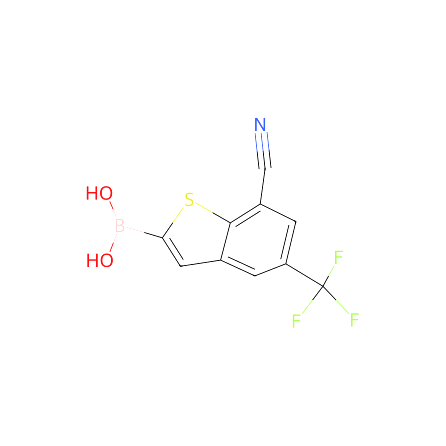 N#Cc1cc(C(F)(F)F)cc2cc(B(O)O)sc12